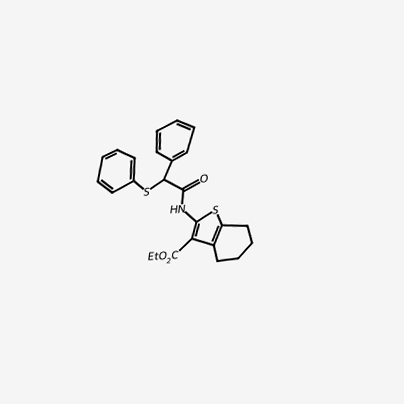 CCOC(=O)c1c(NC(=O)C(Sc2ccccc2)c2ccccc2)sc2c1CCCC2